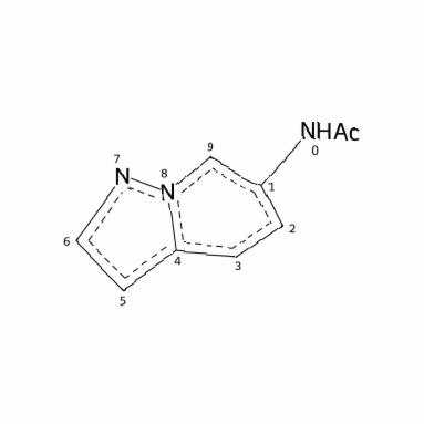 CC(=O)Nc1ccc2ccnn2c1